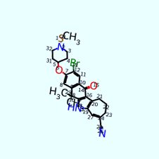 CSN1CCC(Oc2cc3c(cc2Br)C(=O)c2c([nH]c4c2CCCC(C#N)=C4)C3(C)C)CC1